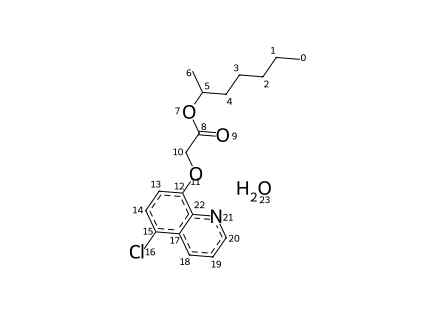 CCCCCC(C)OC(=O)COc1ccc(Cl)c2cccnc12.O